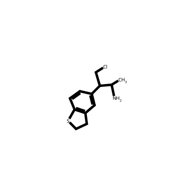 CC(N)C(CCl)c1ccc2c(c1)CCS2